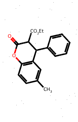 CCOC(=O)C1C(=O)Oc2ccc(C)cc2C1c1ccccc1